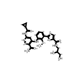 COc1c(Nc2cc(NC(=O)C3CC3)nnc2C(N)=O)cccc1-c1ncc(C(=O)NCC(O)CO)o1